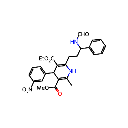 CCOC(=O)C1=C(CCC(NC=O)c2ccccc2)NC(C)=C(C(=O)OC)C1c1cccc([N+](=O)[O-])c1